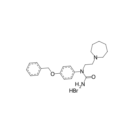 Br.NC(=O)N(CCN1CCCCCC1)c1ccc(OCc2ccccc2)cc1